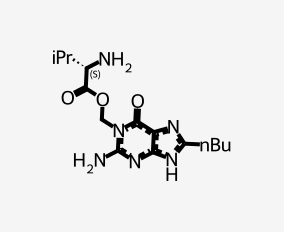 CCCCc1nc2c(=O)n(COC(=O)[C@@H](N)C(C)C)c(N)nc2[nH]1